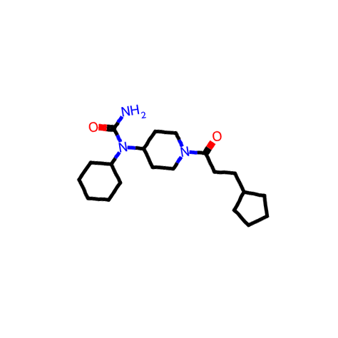 NC(=O)N(C1CCCCC1)C1CCN(C(=O)CCC2CCCC2)CC1